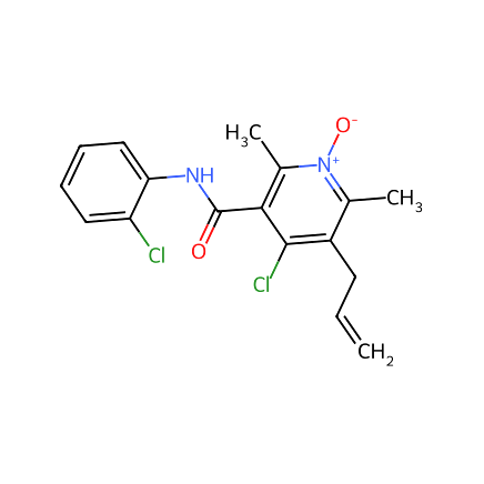 C=CCc1c(Cl)c(C(=O)Nc2ccccc2Cl)c(C)[n+]([O-])c1C